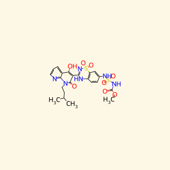 COC(=O)NS(=O)(=O)Nc1ccc2c(c1)S(=O)(=O)N=C(c1c(O)c3cccnc3n(CCC(C)C)c1=O)N2